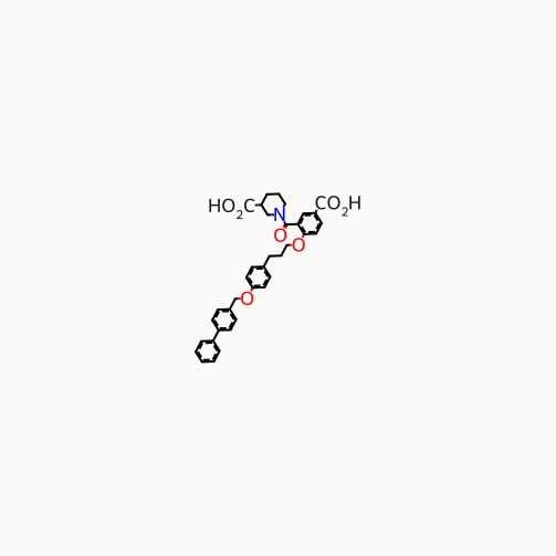 O=C(O)c1ccc(OCCCc2ccc(OCc3ccc(-c4ccccc4)cc3)cc2)c(C(=O)N2CCCC(C(=O)O)C2)c1